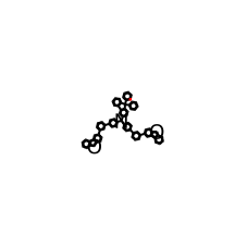 c1ccc(C2(c3ccccc3)c3ccccc3-c3cc(N(c4ccc(-c5cccc(-c6ccc7oc8ccccc8c7c6)c5)cc4)c4ccc(-c5cccc(-c6ccc7oc8ccccc8c7c6)c5)cc4)ccc32)cc1